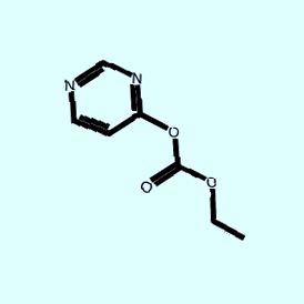 CCOC(=O)Oc1ccncn1